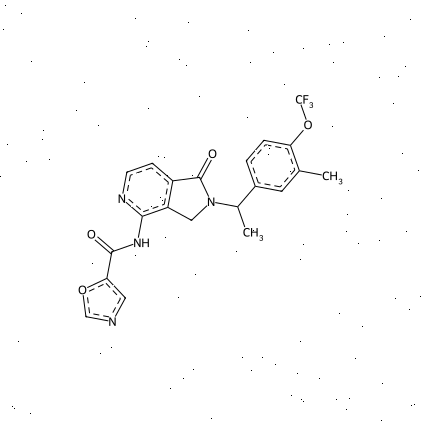 Cc1cc(C(C)N2Cc3c(ccnc3NC(=O)c3cnco3)C2=O)ccc1OC(F)(F)F